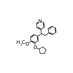 COc1ccc(C(Cc2ccccc2)c2ccncc2)cc1OC1CCCC1